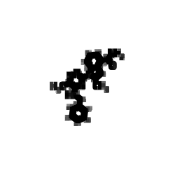 Cc1nnc(-n2c(C)cc3c(C(N)=O)cccc32)nc1NCc1ccccc1